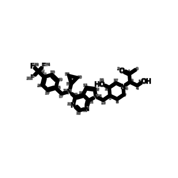 CC(=O)C(CO)N1CCC(Cn2ccc3c(N(Cc4ccc(C(F)(F)F)cc4)C4CC4)ncnc32)C(O)C1